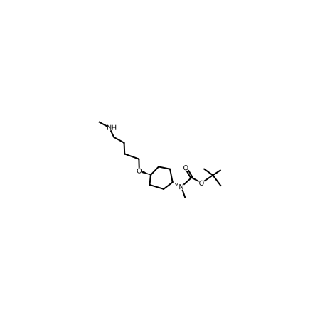 CNCCCCO[C@H]1CC[C@H](N(C)C(=O)OC(C)(C)C)CC1